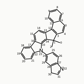 CC1(C)c2ccc3ccccc3c2-c2ccc3c4ccccc4n(-c4ccc5c(c4)CC=N5)c3c21